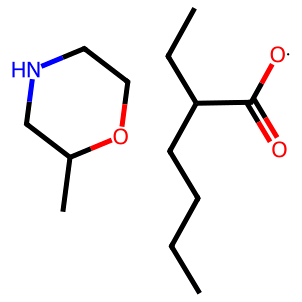 CC1CNCCO1.CCCCC(CC)C([O])=O